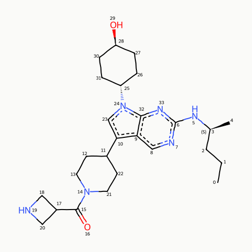 CCC[C@H](C)Nc1ncc2c(C3CCN(C(=O)C4CNC4)CC3)cn([C@H]3CC[C@H](O)CC3)c2n1